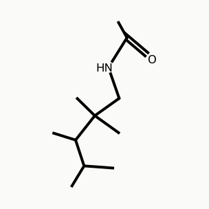 CC(=O)NCC(C)(C)C(C)C(C)C